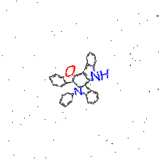 c1ccc(-n2c3ccccc3c3c4[nH]c5ccccc5c4c4oc5ccccc5c4c32)cc1